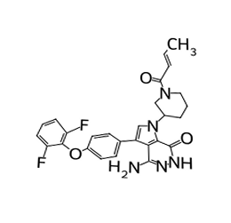 C/C=C/C(=O)N1CCCC(n2cc(-c3ccc(Oc4c(F)cccc4F)cc3)c3c(N)n[nH]c(=O)c32)C1